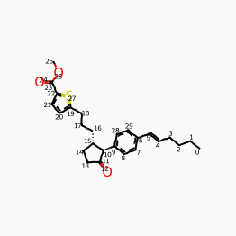 CCCCC=Cc1ccc([C@H]2C(=O)CC[C@@H]2CCCc2ccc(C(=O)OC)s2)cc1